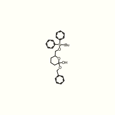 CC(C)(C)[Si](OCC1CCCC(O)(OCc2ccccc2)O1)(c1ccccc1)c1ccccc1